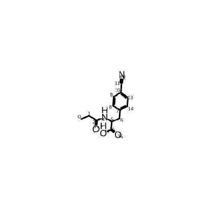 CCC(=O)NC(Cc1ccc(C#N)cc1)C(=O)O